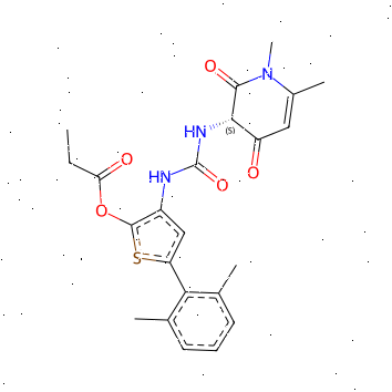 CCC(=O)Oc1sc(-c2c(C)cccc2C)cc1NC(=O)N[C@H]1C(=O)C=C(C)N(C)C1=O